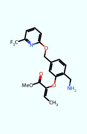 C/C=C(\Oc1cc(COc2cccc(C(F)(F)F)n2)ccc1CN)C(=O)OC